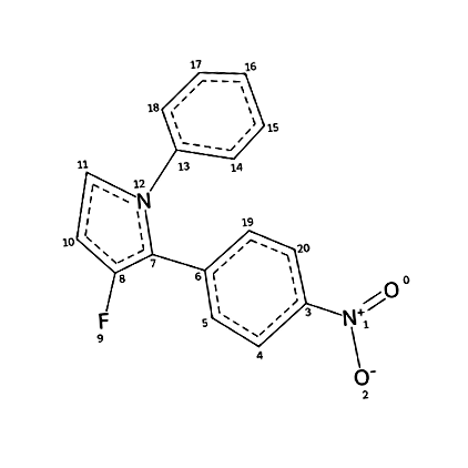 O=[N+]([O-])c1ccc(-c2c(F)ccn2-c2ccccc2)cc1